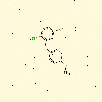 CCC1C=CC(Cc2cc(Br)ccc2Cl)=CC1